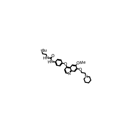 COc1cc2c(Oc3ccc(NC(=O)NCCC(C)(C)C)cc3)ccnc2cc1OCCN1CCCCC1